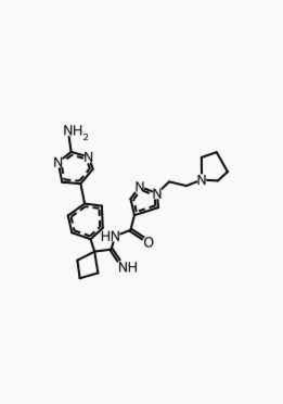 N=C(NC(=O)c1cnn(CCN2CCCC2)c1)C1(c2ccc(-c3cnc(N)nc3)cc2)CCC1